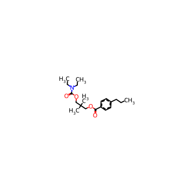 CCCc1ccc(C(=O)OCC(C)(C)COC(=O)N(CC)CC)cc1